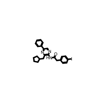 O=C(Cc1ccc(I)cc1)Nc1ncc(-c2ccccc2)nc1CC1CCCC1